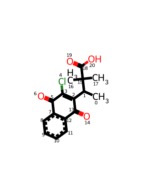 CC(C1=C(Cl)C(=O)c2ccccc2C1=O)C(C)(C)C(=O)O